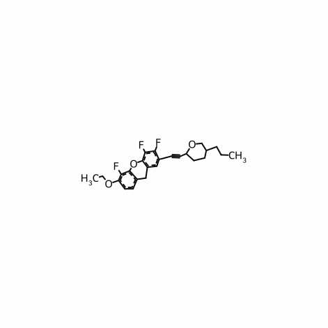 CCCC1CCC(C#Cc2cc3c(c(F)c2F)Oc2c(ccc(OCC)c2F)C3)OC1